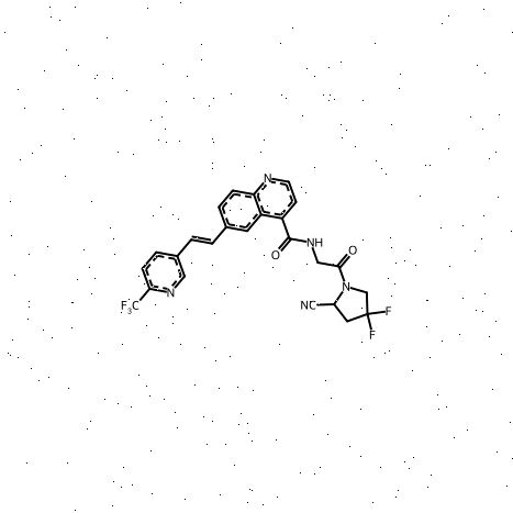 N#CC1CC(F)(F)CN1C(=O)CNC(=O)c1ccnc2ccc(C=Cc3ccc(C(F)(F)F)nc3)cc12